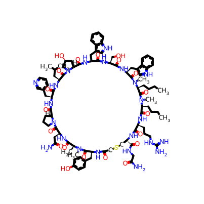 CCCC[C@H]1C(=O)N(C)[C@@H](CCCC)C(=O)N[C@@H](CCCNC(=N)N)C(=O)N[C@H](C(=O)NCC(N)=O)CSCC(=O)N[C@@H](Cc2ccc(O)cc2)C(=O)N(C)[C@@H](C)C(=O)N[C@@H](CC(N)=O)C(=O)N2CCC[C@H]2C(=O)N[C@@H](Cc2cccnc2)C(=O)N[C@@H](CC(C)C)C(=O)N2C[C@H](O)C[C@H]2C(=O)NC(Cc2c[nH]c3ccccc23)C(=O)N[C@@H](CO)C(=O)N[C@@H](Cc2c[nH]c3ccccc23)C(=O)N1C